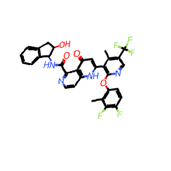 Cc1c(Oc2ncc(C(F)(F)F)c(C)c2-c2cc(=O)c3c(C(=O)N[C@H]4c5ccccc5C[C@H]4O)nccc3[nH]2)ccc(F)c1F